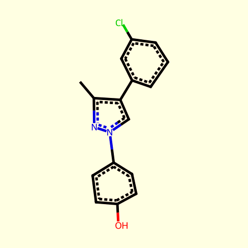 Cc1nn(-c2ccc(O)cc2)cc1-c1cccc(Cl)c1